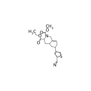 CCOC(=O)C1CC2CC(c3csc(C#N)c3)CC=C2CN1C(=O)OC